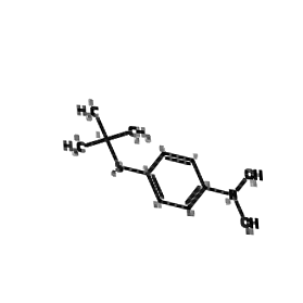 CC(C)(C)Sc1ccc(B(O)O)cc1